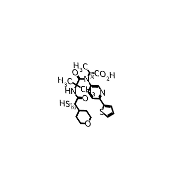 C[C@@H](C(=O)O)N(C(=O)C(C)(C)NC(=O)[C@@H](S)C1CCOCC1)c1ccc(-c2cccs2)nc1